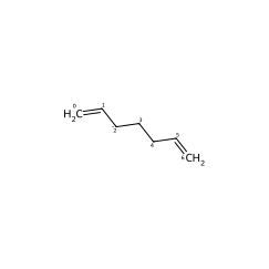 C=C[CH]CCC=C